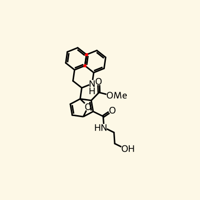 COC(=O)C1=C(C(=O)NCCO)C2C=CC1(C(Cc1ccccc1)Nc1ccccc1)O2